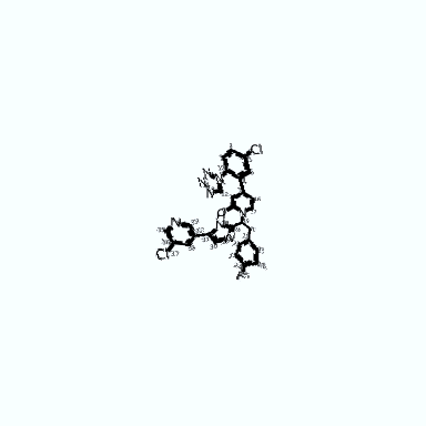 O=c1cc(-c2cc(Cl)ccc2-n2cnnn2)ccn1C(Cc1ccc(F)cc1)c1ncc(-c2cncc(Cl)c2)[nH]1